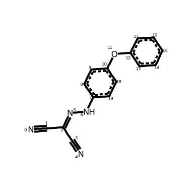 N#CC(C#N)=NNc1ccc(Oc2ccccc2)cc1